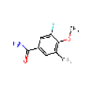 COc1c(C)cc(C(N)=O)cc1F